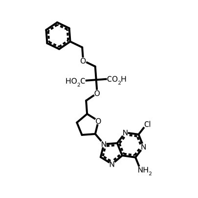 Nc1nc(Cl)nc2c1ncn2C1CCC(COC(COCc2ccccc2)(C(=O)O)C(=O)O)O1